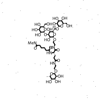 CNC(=O)CCCCC(=O)N[C@@H](CCC(=O)NCCO[C@@H]1O[C@@H](C)[C@@H](O)[C@@H](O)[C@@H]1O)C(=O)NCCO[C@H]1O[C@H](CO[C@H]2O[C@H](CO)[C@@H](O)[C@H](O)[C@@H]2O)[C@@H](O)[C@H](O[C@H]2O[C@H](CO)[C@@H](O)[C@H](O)[C@@H]2O)[C@@H]1O